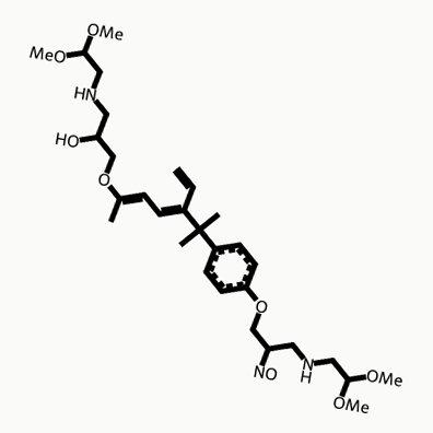 C=C/C(=C\C=C(/C)OCC(O)CNCC(OC)OC)C(C)(C)c1ccc(OCC(CNCC(OC)OC)N=O)cc1